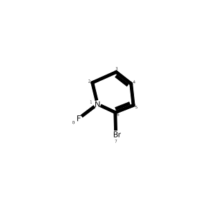 FN1CC=CC=C1Br